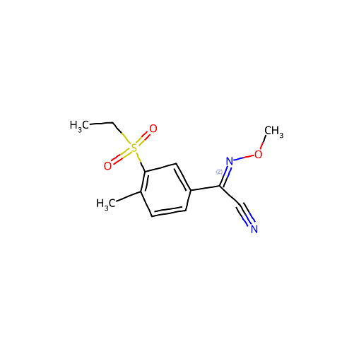 CCS(=O)(=O)c1cc(/C(C#N)=N/OC)ccc1C